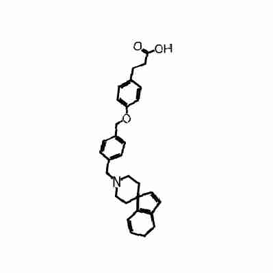 O=C(O)CCc1ccc(OCc2ccc(CN3CCC4(C=CC5=C4C=CCC5)CC3)cc2)cc1